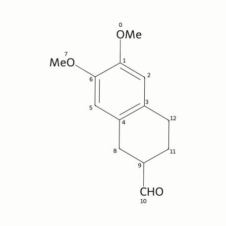 COc1cc2c(cc1OC)CC(C=O)CC2